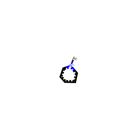 CC(=O)[n+]1ccccc1